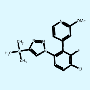 COc1cc(-c2c(-n3cc([Si](C)(C)C)nn3)ccc(Cl)c2F)ccn1